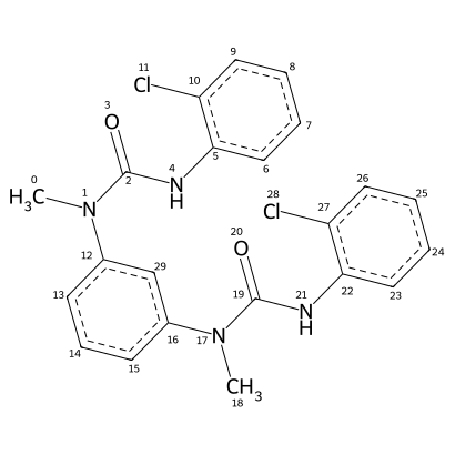 CN(C(=O)Nc1ccccc1Cl)c1cccc(N(C)C(=O)Nc2ccccc2Cl)c1